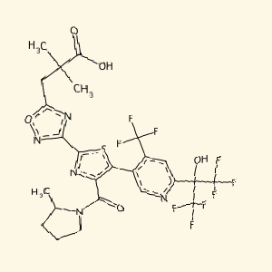 CC1CCCN1C(=O)c1nc(-c2noc(CC(C)(C)C(=O)O)n2)sc1-c1cnc(C(O)(C(F)(F)F)C(F)(F)F)cc1C(F)(F)F